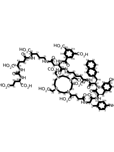 Nc1ccc(C[C@H](NC(=O)CCC(C(=O)O)N2CCN(CC(=O)O)CCN(CC(=O)O)CCN(CC(=O)O)CC2)C(=O)N[C@H](Cc2ccc(O)cc2)C(=O)N[C@H](Cc2ccc3ccccc3c2)C(=O)N[C@H](CCCCNC(=O)[C@@H](CC(=O)NCCCC(NC(=O)CC[C@H](NC(=O)N[C@@H](CCC(=O)O)C(=O)O)C(=O)O)C(=O)O)NC(=O)c2cc(C(=O)O)cc(C(=O)O)c2)C(=O)O)cc1